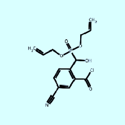 C=CCOP(=O)(OCC=C)C(O)c1ccc(C#N)cc1C(=O)Cl